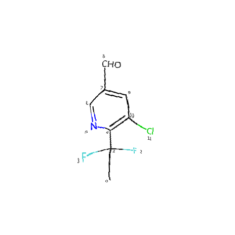 CC(F)(F)c1ncc(C=O)cc1Cl